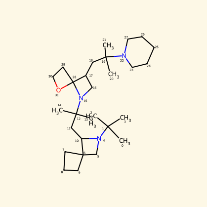 CC(C)(C)N1CC2(CCC2)C1CC(C)(C)N1CC(CC(C)(C)N2CCCCC2)C12CCO2